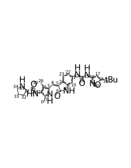 Cc1[nH]c(/C=C2\C(=O)Nc3cc(NC(=O)Nc4cc(C(C)(C)C)on4)ccc32)c(C)c1NC(=O)[C@@H]1CCCN1